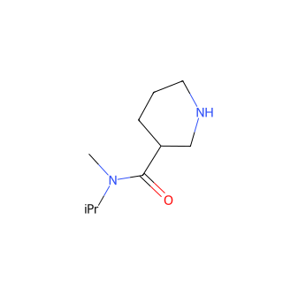 CC(C)N(C)C(=O)C1CCCNC1